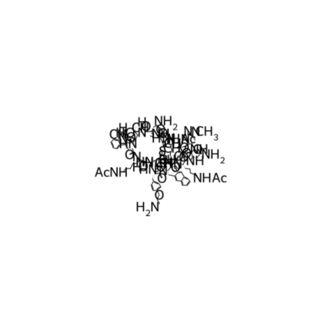 CC(=O)NCCCC[C@@H]1NC(=O)[C@H](Cc2c[nH]c3c(C)cccc23)NC(=O)[C@H]([C@@H](C)O)NC(=O)[C@H](CC(N)=O)NC(=O)[C@@H](NC(C)=O)C(C)(C)SSC(C)(C)[C@@H](C(=O)N[C@@H](Cc2ccc(OCCN)cc2)C(=O)N[C@@H](Cc2ccc3ccccc3c2)C(=O)N(C)[C@@H](CCCCN)C(=O)N[C@@H](CCCCNC(C)=O)C(=O)N[C@@H](CC(N)=O)C(=O)N[C@@H](Cc2cncn2C)C(N)=O)NC1=O